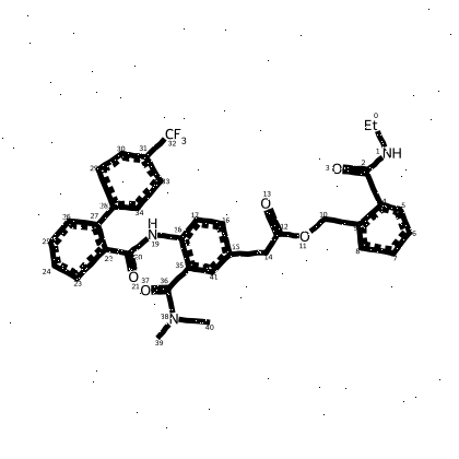 CCNC(=O)c1ccccc1COC(=O)Cc1ccc(NC(=O)c2ccccc2-c2ccc(C(F)(F)F)cc2)c(C(=O)N(C)C)c1